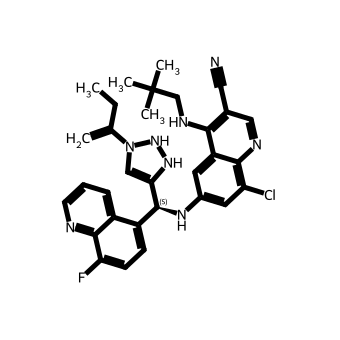 C=C(CC)N1C=C([C@@H](Nc2cc(Cl)c3ncc(C#N)c(NCC(C)(C)C)c3c2)c2ccc(F)c3ncccc23)NN1